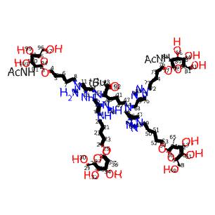 CC(=O)N[C@H]1[C@H](OCCCCCN(N)/C=C(\N)CN(C/C(=C/NCCCCCO[C@@H]2O[C@H](CO)[C@H](O)[C@H](O)[C@H]2C)N=N)C(CCCCN(Cc2cn(CCCCCO[C@@H]3O[C@H](CO)[C@H](O)[C@H](O)[C@H]3C)nn2)Cc2cn(CCCCCO[C@@H]3O[C@H](CO)[C@H](O)[C@H](O)[C@H]3NC(C)=O)nn2)C(=O)C(C)(C)C)O[C@H](CO)[C@H](O)[C@@H]1O